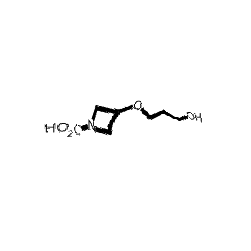 O=C(O)N1CC(OCCCO)C1